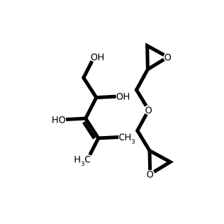 C(OCC1CO1)C1CO1.CC(C)=C(O)C(O)CO